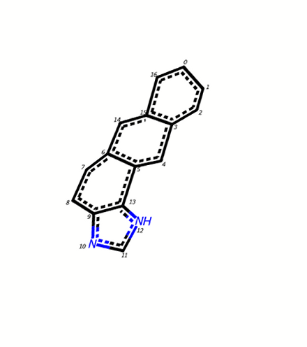 c1ccc2cc3c(ccc4nc[nH]c43)cc2c1